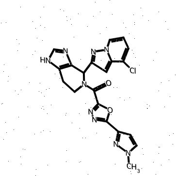 Cn1ccc(-c2nnc(C(=O)N3CCc4[nH]cnc4C3c3cc4c(Cl)cccn4n3)o2)n1